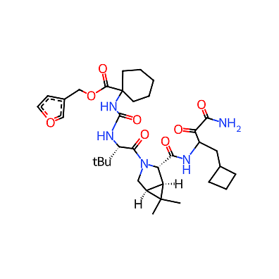 CC(C)(C)[C@H](NC(=O)NC1(C(=O)OCc2ccoc2)CCCCC1)C(=O)N1C[C@H]2[C@@H]([C@H]1C(=O)NC(CC1CCC1)C(=O)C(N)=O)C2(C)C